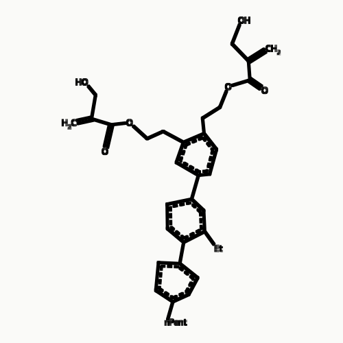 C=C(CO)C(=O)OCCc1ccc(-c2ccc(-c3ccc(CCCCC)cc3)c(CC)c2)cc1CCOC(=O)C(=C)CO